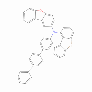 c1ccc(-c2ccc(-c3ccc(N(c4ccc5oc6ccccc6c5c4)c4cccc5sc6ccccc6c45)cc3)cc2)cc1